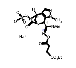 CCOC(=O)CCC(=O)O/N=C(\NC)[C@@H]1c2c(cnn2C)[C@@H]2CN1C(=O)N2OS(=O)(=O)[O-].[Na+]